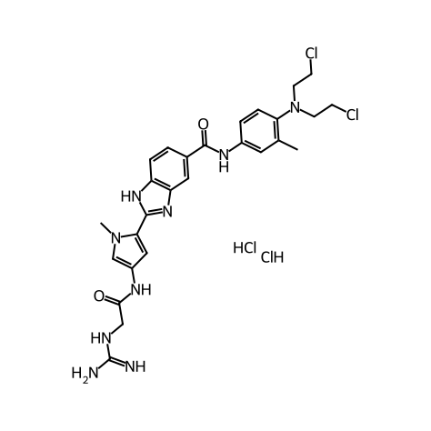 Cc1cc(NC(=O)c2ccc3[nH]c(-c4cc(NC(=O)CNC(=N)N)cn4C)nc3c2)ccc1N(CCCl)CCCl.Cl.Cl